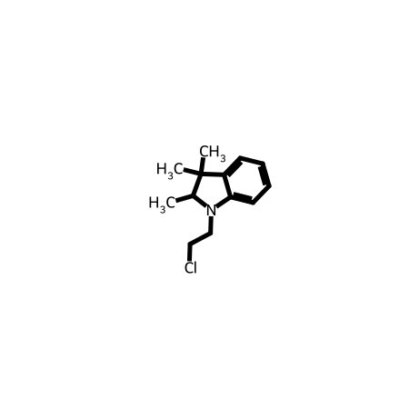 CC1N(CCCl)c2ccccc2C1(C)C